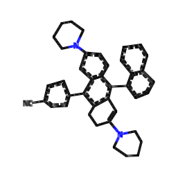 N#Cc1ccc(-c2c3c(c(-c4cccc5ccccc45)c4ccc(N5CCCCC5)cc24)C=C(N2CCCCC2)CC3)cc1